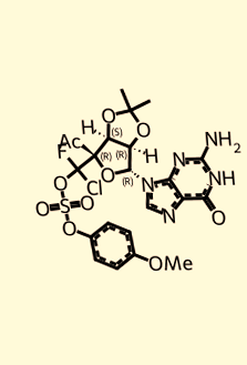 COc1ccc(OS(=O)(=O)OC(F)(Cl)[C@@]2(C(C)=O)O[C@@H](n3cnc4c(=O)[nH]c(N)nc43)[C@@H]3OC(C)(C)O[C@@H]32)cc1